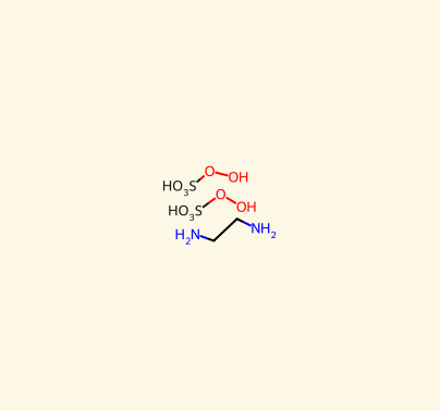 NCCN.O=S(=O)(O)OO.O=S(=O)(O)OO